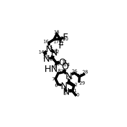 Cc1cc2n(n1)CC[C@H](NC(=O)c1ncn(CC3CC3(F)F)n1)C(=O)N2CC(C)C